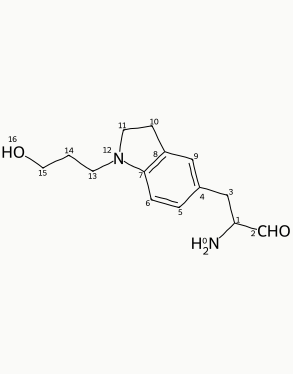 NC(C=O)Cc1ccc2c(c1)CCN2CCCO